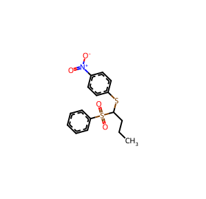 CCCC(Sc1ccc([N+](=O)[O-])cc1)S(=O)(=O)c1ccccc1